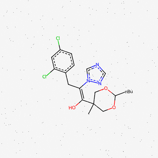 CCCCC1OCC(C)(C(O)=C(Cc2ccc(Cl)cc2Cl)n2cncn2)CO1